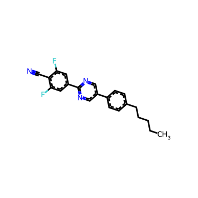 CCCCCc1ccc(-c2cnc(-c3cc(F)c(C#N)c(F)c3)nc2)cc1